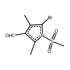 Cc1c(C=O)c(C)n(S(C)(=O)=O)c1Br